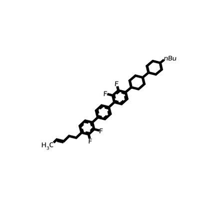 C/C=C/CCc1ccc(-c2ccc(-c3ccc(C4CCC(C5CCC(CCCC)CC5)CC4)c(F)c3F)cc2)c(F)c1F